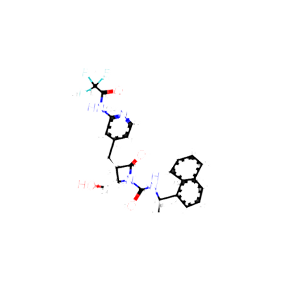 C[C@@H](NC(=O)N1C(=O)[C@H](Cc2ccnc(NC(=O)C(F)(F)F)c2)[C@H]1CO)c1cccc2ccccc12